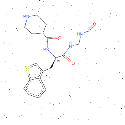 O=CNCNC(=O)[C@@H](Cc1csc2ccccc12)NC(=O)C1CCNCC1